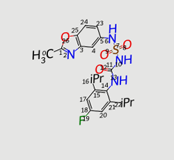 Cc1nc2cc(NS(=O)(=O)NC(=O)Nc3c(C(C)C)cc(F)cc3C(C)C)ccc2o1